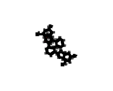 Brc1cc(Br)c2nc(-c3cccc(-c4nc5c(Br)cc(Br)cc5o4)c3-c3ccccc3-c3ccccc3)oc2c1